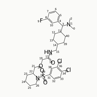 CN(C)C(c1cccc(F)c1)C1CCC(CNC(=O)COCC2CCCCN2S(=O)(=O)c2ccc(Cl)c(Cl)c2)CC1